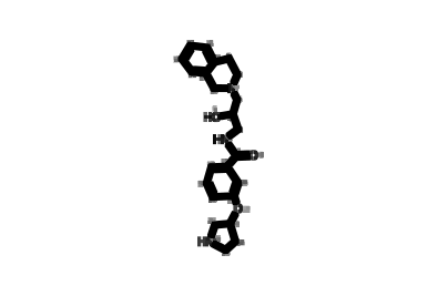 O=C(NCC(O)CN1CCc2ccccc2C1)c1cccc(OC2CCNC2)c1